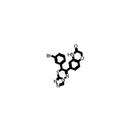 O=C1COc2ccc(C3=Nn4cnnc4SC3c3cccc(Br)c3)cc2N1